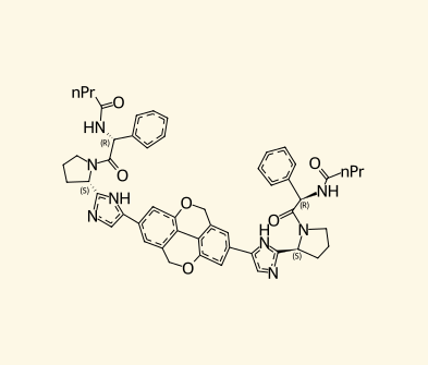 CCCC(=O)N[C@@H](C(=O)N1CCC[C@H]1c1ncc(-c2cc3c4c(c2)OCc2cc(-c5cnc([C@@H]6CCCN6C(=O)[C@H](NC(=O)CCC)c6ccccc6)[nH]5)cc(c2-4)OC3)[nH]1)c1ccccc1